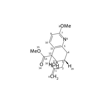 C=C1C[C@H]2Cc3nc(OC)ccc3C(C(=O)OC)(C1)[C@H]2O